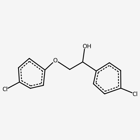 OC(COc1ccc(Cl)cc1)c1ccc(Cl)cc1